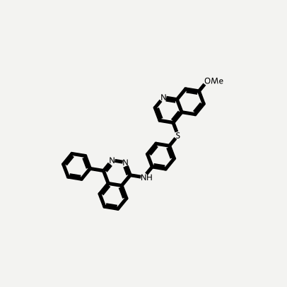 COc1ccc2c(Sc3ccc(Nc4nnc(-c5ccccc5)c5ccccc45)cc3)ccnc2c1